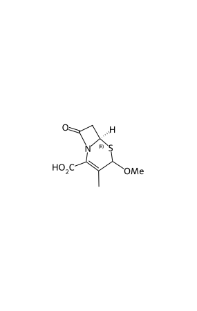 COC1S[C@@H]2CC(=O)N2C(C(=O)O)=C1C